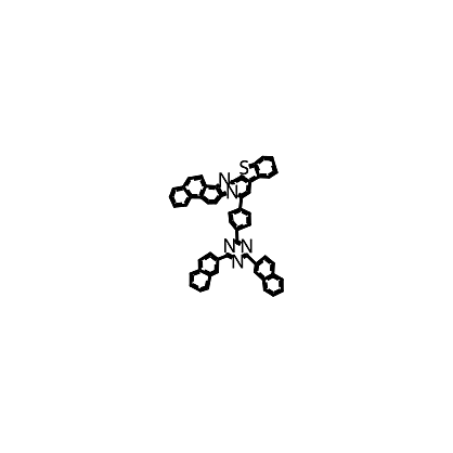 c1ccc2cc(-c3nc(-c4ccc(-c5cc6c7ccccc7sc6c6nc7c8ccc9ccccc9c8ccc7n56)cc4)nc(-c4ccc5ccccc5c4)n3)ccc2c1